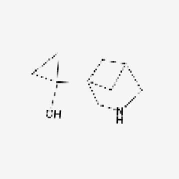 OC1(C23CNCC(C2)C3)CC1